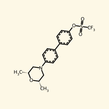 C[C@@H]1CN(c2ccc(-c3ccc(OS(=O)(=O)C(F)(F)F)cc3)cc2)C[C@H](C)O1